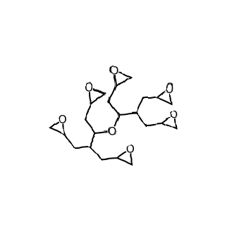 C1OC1CC(CC1CO1)C(CC1CO1)OC(CC1CO1)C(CC1CO1)CC1CO1